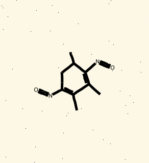 CC1=C(N=O)CC(C)C(N=O)=C1C